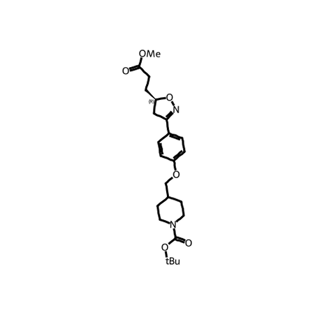 COC(=O)CC[C@@H]1CC(c2ccc(OCC3CCN(C(=O)OC(C)(C)C)CC3)cc2)=NO1